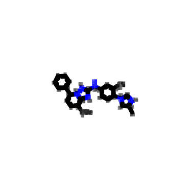 COc1ccc(-c2ccccc2)n2nc(Nc3ccc(-n4cnc(C)c4)c(C#N)c3)nc12